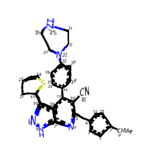 COc1ccc(-c2nc3[nH]nc(C4CC=CS4)c3c(-c3ccc(N4CCNCC4)cc3)c2C#N)cc1